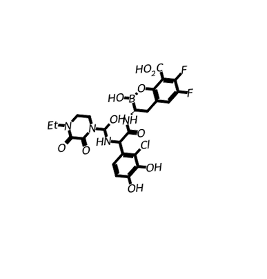 CCN1CCN(C(O)NC(C(=O)N[C@H]2Cc3cc(F)c(F)c(C(=O)O)c3OB2O)c2ccc(O)c(O)c2Cl)C(=O)C1=O